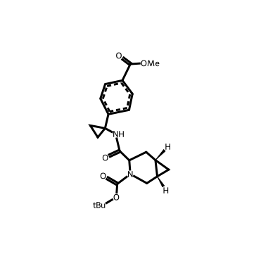 COC(=O)c1ccc(C2(NC(=O)C3C[C@@H]4C[C@@H]4CN3C(=O)OC(C)(C)C)CC2)cc1